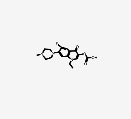 CCn1cc(OC(=O)O)c(=O)c2cc(F)c(N3CCN(C)CC3)cc21